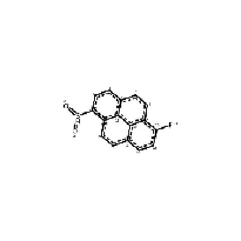 O=[SH](=O)c1ccc2ccc3c(F)ccc4ccc1c2c43